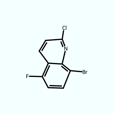 Fc1ccc(Br)c2nc(Cl)ccc12